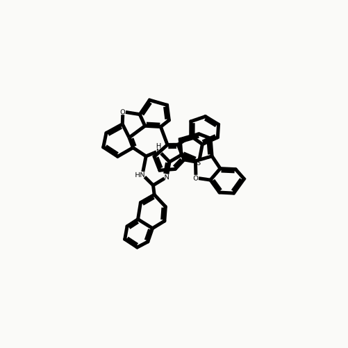 c1ccc2cc(C3N=C(c4cccc5c4oc4ccccc45)NC(c4cccc5oc6cccc(-c7cccc8sc9ccccc9c78)c6c45)N3)ccc2c1